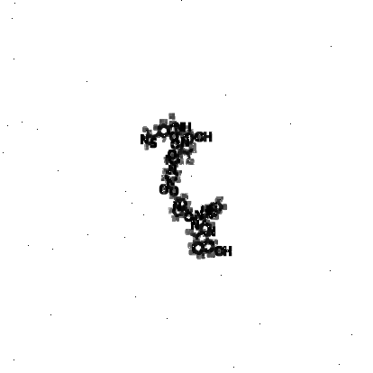 Cc1ncsc1-c1ccc([C@H](C)NC(=O)[C@@H]2C[C@@H](O)CN2C(=O)[C@H](c2cc(N3CCN(C(=O)OC[C@@H]4CC[C@]5(COc6nc(N7CC8CCC(C7)N8)c7cnc8c(c7n6)C(C)c6cccc7cc(O)cc-8c67)CCCN45)CC3)no2)C(C)C)cc1